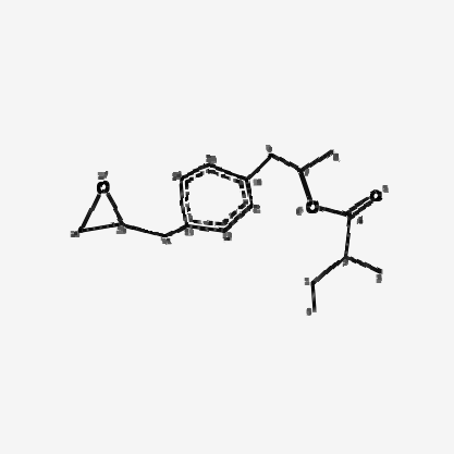 CCC(C)C(=O)OC(C)Cc1ccc(CC2CO2)cc1